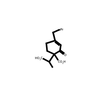 CC(C)CC1=CC(=O)C(C(=O)O)(C(C)C(=O)O)CC1